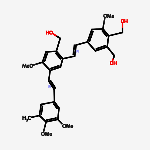 COc1cc(CO)c(/C=C/c2cc(CO)c(CO)c(OC)c2)cc1/C=C/c1cc(C)c(OC)c(OC)c1